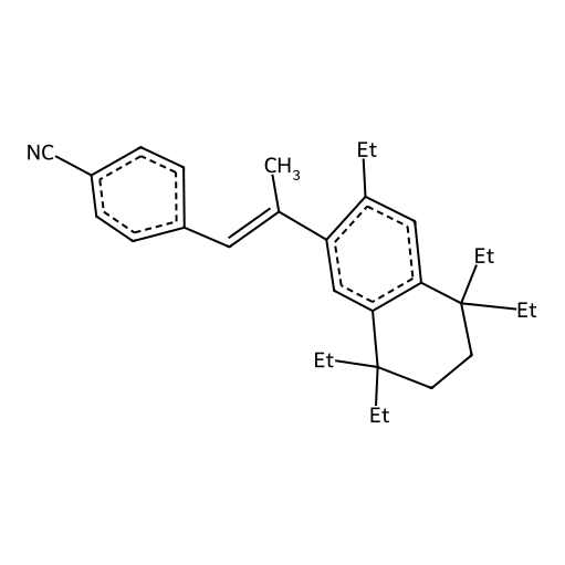 CCc1cc2c(cc1/C(C)=C/c1ccc(C#N)cc1)C(CC)(CC)CCC2(CC)CC